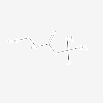 CCC(C)(C)OC(=O)NC[C]=O